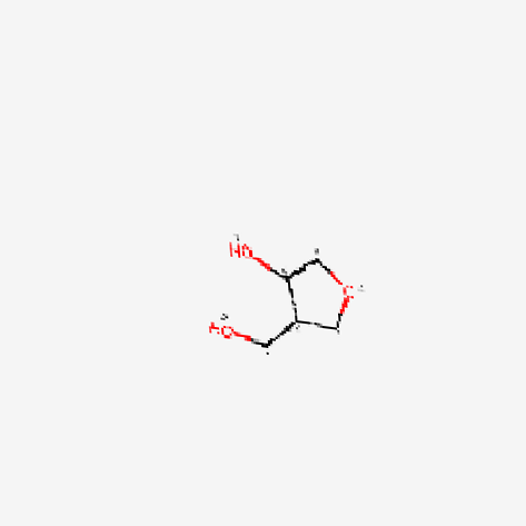 OCC1COCC1O